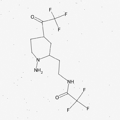 NN1CCC(C(=O)C(F)(F)F)CC1CCNC(=O)C(F)(F)F